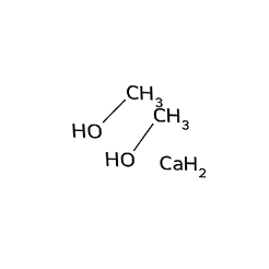 CO.CO.[CaH2]